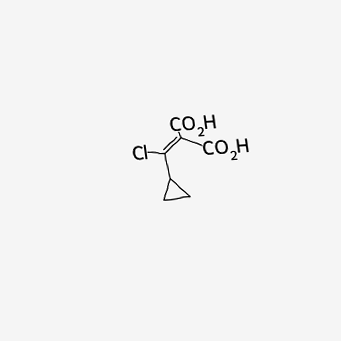 O=C(O)C(C(=O)O)=C(Cl)C1CC1